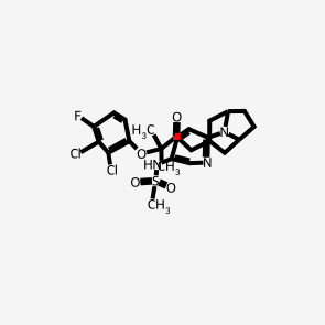 CC(C)(Oc1ccc(F)c(Cl)c1Cl)C(=O)CC1CC2CCC(C1)N2c1ccc(NS(C)(=O)=O)cn1